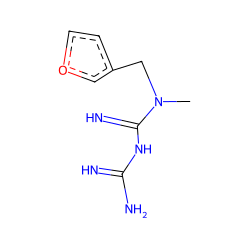 CN(Cc1ccoc1)C(=N)NC(=N)N